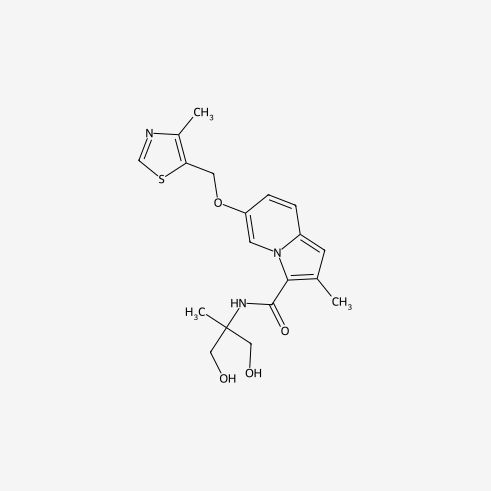 Cc1cc2ccc(OCc3scnc3C)cn2c1C(=O)NC(C)(CO)CO